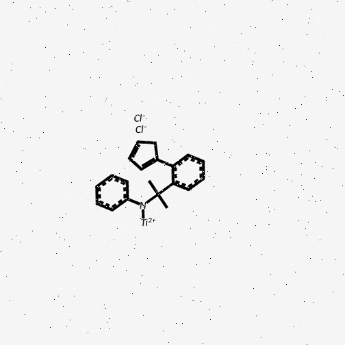 CC(C)(c1ccccc1C1=CC=CC1)[N]([Ti+2])c1ccccc1.[Cl-].[Cl-]